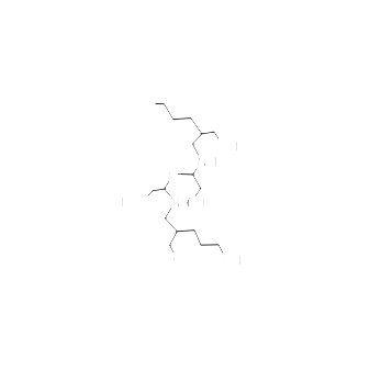 CCCCC(CC)CNC(CC)OC(CC)NCC(CC)CCCC